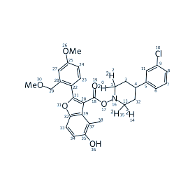 [2H]C1([2H])CC(c2cccc(Cl)c2)CC([2H])([2H])N1OC(=O)c1c(-c2ccc(OC)cc2COC)oc2ccc(O)c(C)c12